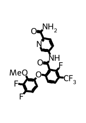 COc1c(Oc2ccc(C(F)(F)F)c(F)c2C(=O)Nc2ccc(C(N)=O)nc2)ccc(F)c1F